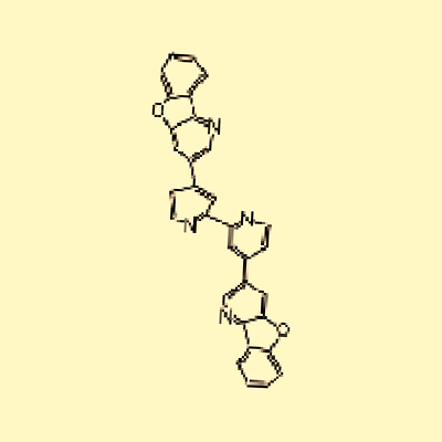 c1ccc2c(c1)oc1cc(-c3ccnc(-c4cc(-c5cnc6c(c5)oc5ccccc56)ccn4)c3)cnc12